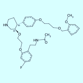 COc1ccccc1COCCCOc1ccc([C@H]2CCNC[C@@H]2OCCOc2cc(F)ccc2CCNC(C)=O)cc1